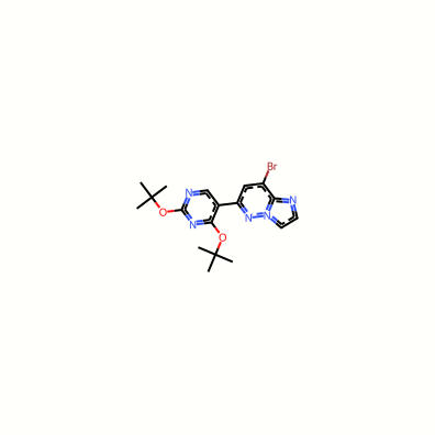 CC(C)(C)Oc1ncc(-c2cc(Br)c3nccn3n2)c(OC(C)(C)C)n1